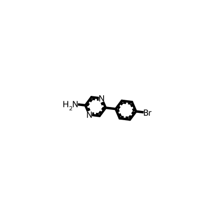 Nc1cnc(-c2ccc(Br)cc2)cn1